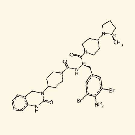 C[C@@H]1CCCN1C1CCN(C(=O)[C@@H](Cc2cc(Br)c(N)c(Br)c2)NC(=O)N2CCC(N3Cc4ccccc4NC3=O)CC2)CC1